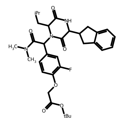 CC(C)CC1C(=O)NC(C2Cc3ccccc3C2)C(=O)N1C(C(=O)N(C)C)c1ccc(OCC(=O)OC(C)(C)C)c(F)c1